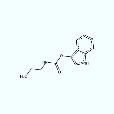 CCCNC(=O)Oc1c[nH]c2ccccc12